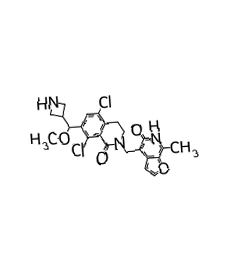 COC(c1cc(Cl)c2c(c1Cl)C(=O)N(Cc1c(=O)[nH]c(C)c3occc13)CC2)C1CNC1